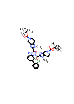 Cn1c(C(=O)NC2(NC(=O)c3nc4c(n3C)CCN(C(=O)OC(C)(C)C)C4)C=CC=C(c3ccccc3Cl)C2Cl)nc2c1CCN(C(=O)OC(C)(C)C)C2